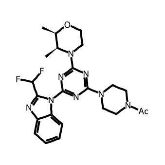 CC(=O)N1CCN(c2nc(N3CCO[C@H](C)[C@@H]3C)nc(-n3c(C(F)F)nc4ccccc43)n2)CC1